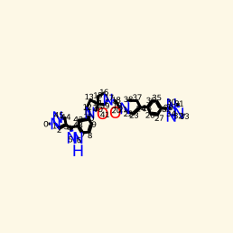 Cn1cc(-c2n[nH]c3ccc(N4CCC5(CCN(CC(=O)N6CC=C(c7ccc(-c8ncn(C)n8)cc7)CC6)C5)C4=O)cc23)cn1